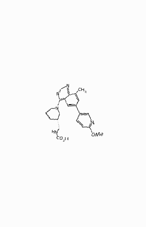 COc1ccc(-c2cc(C)c3ncnc(N4CCC[C@@H](CNC(=O)O)C4)c3c2)cn1